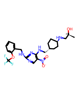 C[C@H](O)CN[C@H]1CC[C@H](CNc2nc(NCc3ccccc3OC(F)(F)F)ncc2[N+](=O)[O-])CC1